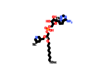 CCCCCCCCCCCCCCCCCCOC[C@H](COP(=O)(O)OCC1O[C@@](C#N)(c2ccc3c(N)ncnn23)[C@H](O)[C@@H]1O)OCc1cncc(C#N)c1